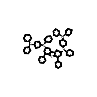 c1ccc(-c2cc(N(c3ccccc3)c3ccc(N(c4ccccc4)c4ccccc4)cc3)cc3c2oc2c(-c4ccccc4)cc(N(c4ccccc4)c4ccc(N(c5ccccc5)c5ccccc5)cc4)cc23)cc1